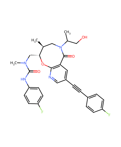 CC(CO)N1C[C@H](C)[C@@H](CN(C)C(=O)Nc2ccc(F)cc2)Oc2ncc(C#Cc3ccc(F)cc3)cc2C1=O